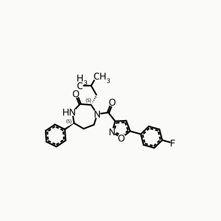 CC(C)C[C@H]1C(=O)N[C@H](c2ccccc2)CCN1C(=O)c1cc(-c2ccc(F)cc2)on1